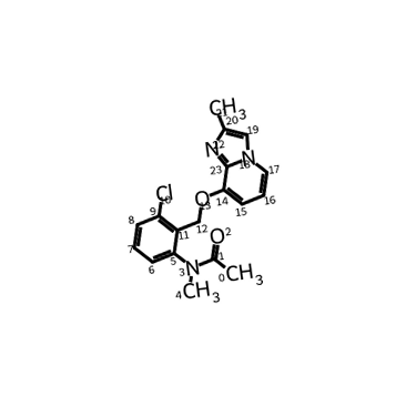 CC(=O)N(C)c1cccc(Cl)c1COc1cccn2cc(C)nc12